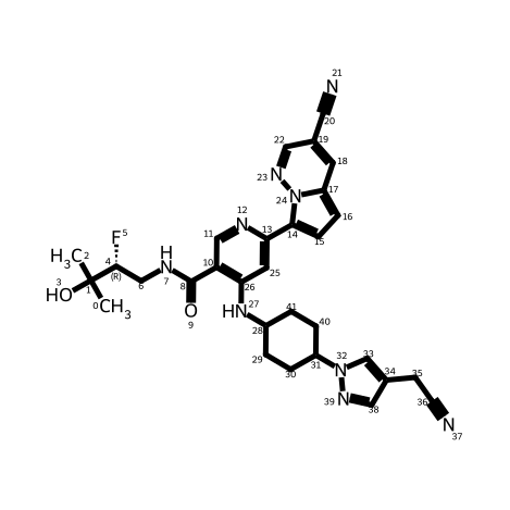 CC(C)(O)[C@H](F)CNC(=O)c1cnc(-c2ccc3cc(C#N)cnn23)cc1NC1CCC(n2cc(CC#N)cn2)CC1